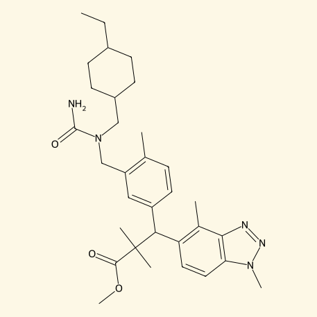 CCC1CCC(CN(Cc2cc(C(c3ccc4c(nnn4C)c3C)C(C)(C)C(=O)OC)ccc2C)C(N)=O)CC1